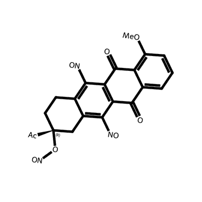 COc1cccc2c1C(=O)c1c(N=O)c3c(c(N=O)c1C2=O)C[C@@](ON=O)(C(C)=O)CC3